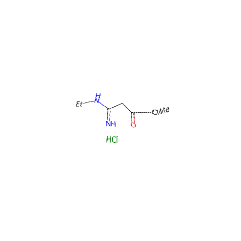 CCNC(=N)CC(=O)OC.Cl